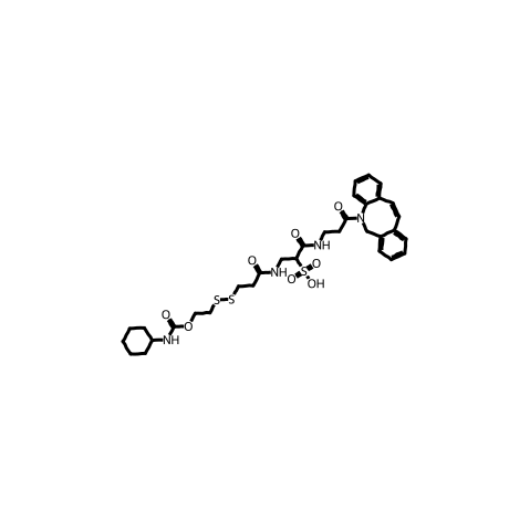 O=C(CCSSCCOC(=O)NC1CCCCC1)NCC(C(=O)NCCC(=O)N1Cc2ccccc2/C=C\c2ccccc21)S(=O)(=O)O